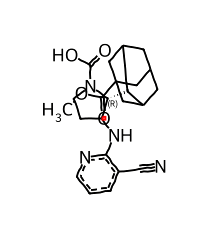 COC(=O)C12CC3CC(C1)C([C@@H]1C(Nc4ncccc4C#N)CCN1C(=O)O)C(C3)C2